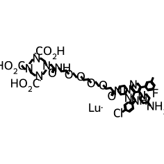 Cc1cc(F)cc(-c2cnc(N3CCN(C(=O)CCOCCOCCOCCOCCNC(=O)CN4CCN(CC(=O)O)CCN(CC(=O)O)CCN(CC(=O)O)CC4)CC3)c(-c3nc4cc(Cl)ccc4[nH]3)c2N2CCC(N)CC2)c1.[Lu]